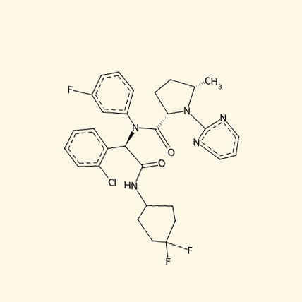 C[C@H]1CC[C@@H](C(=O)N(c2cccc(F)c2)[C@@H](C(=O)NC2CCC(F)(F)CC2)c2ccccc2Cl)N1c1ncccn1